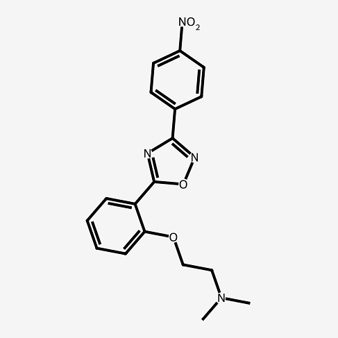 CN(C)CCOc1ccccc1-c1nc(-c2ccc([N+](=O)[O-])cc2)no1